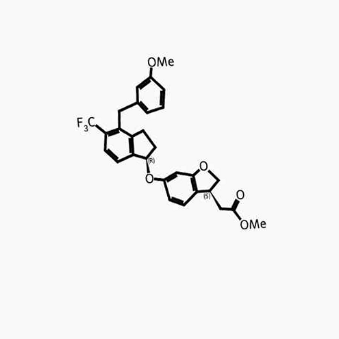 COC(=O)C[C@@H]1COc2cc(O[C@@H]3CCc4c3ccc(C(F)(F)F)c4Cc3cccc(OC)c3)ccc21